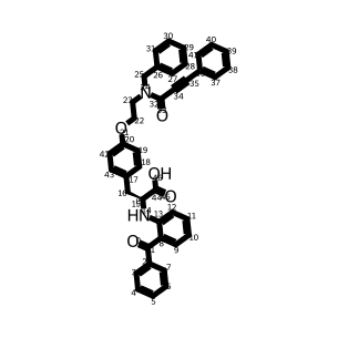 O=C(c1ccccc1)c1ccccc1N[C@@H](Cc1ccc(OCCN(Cc2ccccc2)C(=O)C#Cc2ccccc2)cc1)C(=O)O